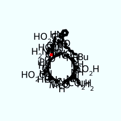 CCC(C)CCCCCCC(=O)NC(Cc1c[nH]c2ccccc12)C(=O)NC(CCC(=O)O)C(=O)NC(C(=O)NC1C(=O)N(C)CC(=O)NC(C)C(=O)NC(CC(=O)O)C(=O)NC(CCCCN)C(=O)NC(C(OC)C(=O)O)C(=O)NCC(=O)NC(CO)C(=O)NC(C(C)CC(=O)O)C(=O)NC(C(C)C)C(=O)OC1C)C(O)C(N)=O